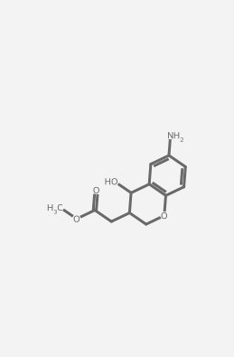 COC(=O)CC1COc2ccc(N)cc2C1O